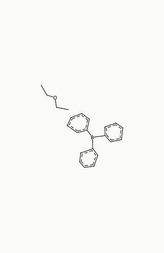 CCOCC.c1ccc(B(c2ccccc2)c2ccccc2)cc1